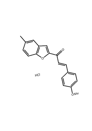 COc1ccc(/C=C/C(=O)c2cc3cc(C)ccc3o2)cc1.Cl